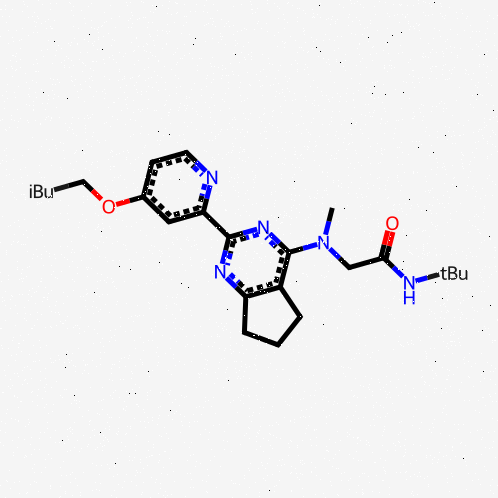 CCC(C)COc1ccnc(-c2nc3c(c(N(C)CC(=O)NC(C)(C)C)n2)CCC3)c1